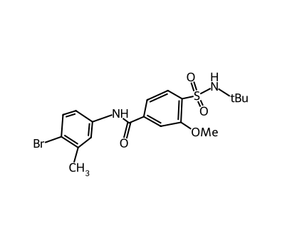 COc1cc(C(=O)Nc2ccc(Br)c(C)c2)ccc1S(=O)(=O)NC(C)(C)C